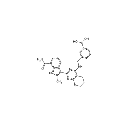 Cc1[nH]c2c(C(N)=O)cccc2c1-c1nc(NCc2cccc(B(O)O)c2)c2c(n1)OCCC2